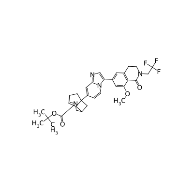 COc1cc(-c2cnc3cc(C45CC6CC4C(CN(C(=O)OC(C)(C)C)C6)C5)ccn23)cc2c1C(=O)N(CC(F)(F)F)CC2